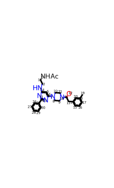 CC(=O)NCCNc1cc(N2CCN(C(=O)Cc3cccc(C)c3)CC2)nc(-c2ccccc2)n1